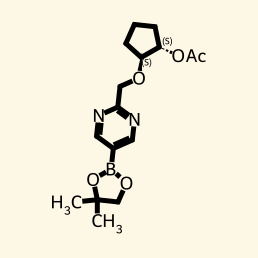 CC(=O)O[C@H]1CCC[C@@H]1OCc1ncc(B2OCC(C)(C)O2)cn1